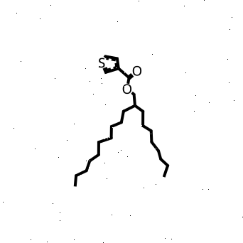 CCCCCCCCCCC(CCCCCCCC)COC(=O)c1ccsc1